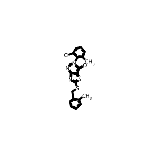 Cc1ccccc1CSc1nc2ncn(-c3c(C)cccc3Cl)c(=O)c2s1